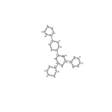 c1ccc(-c2ccc(-c3cc(-c4ccccc4)cc(-c4ccccc4)n3)cc2)cc1